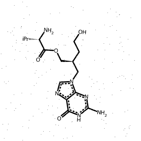 CC(C)[C@H](N)C(=O)OC[C@@H](CCO)Cn1cnc2c(=O)[nH]c(N)nc21